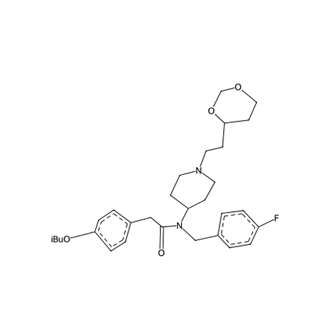 CC(C)COc1ccc(CC(=O)N(Cc2ccc(F)cc2)C2CCN(CCC3CCOCO3)CC2)cc1